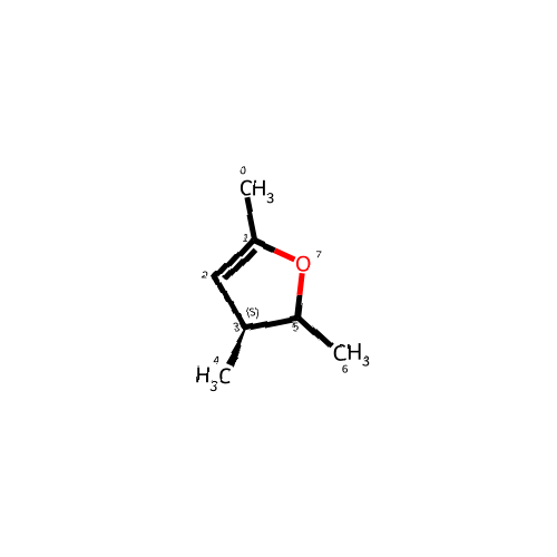 CC1=C[C@H](C)C(C)O1